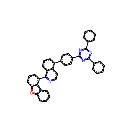 c1ccc(-c2nc(-c3ccccc3)nc(-c3ccc(-c4cccc5c(-c6cccc7oc8ccccc8c67)nccc45)cc3)n2)cc1